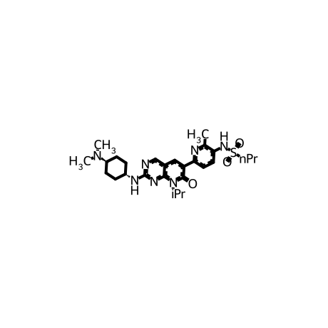 CCCS(=O)(=O)Nc1ccc(-c2cc3cnc(N[C@H]4CC[C@H](N(C)C)CC4)nc3n(C(C)C)c2=O)nc1C